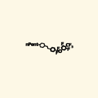 CCCCCC1CCC(CCc2ccc(C(F)(F)Oc3cc(F)c(C(F)(F)F)c(F)c3)cc2)CC1